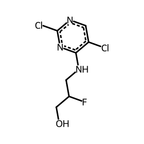 OCC(F)CNc1nc(Cl)ncc1Cl